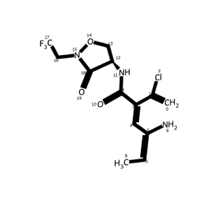 C=C(Cl)/C(=C\C(N)=C/C)C(=O)N[C@@H]1CON(CC(F)(F)F)C1=O